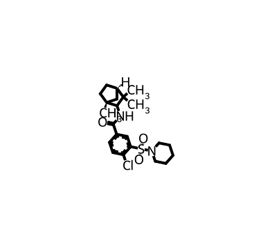 CC1(C)C(NC(=O)c2ccc(Cl)c(S(=O)(=O)N3CCCCC3)c2)[C@]2(C)CC[C@@H]1C2